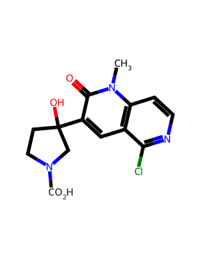 Cn1c(=O)c(C2(O)CCN(C(=O)O)C2)cc2c(Cl)nccc21